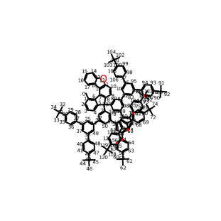 Cc1cccc2c1-c1c(ccc3oc4ccccc4c13)C2(c1cc(-c2cc(-c3ccc(C(C)(C)C)cc3)cc(-c3ccc(C(C)(C)C)cc3)c2)cc(-c2cc(-c3ccc(C(C)(C)C)cc3)cc(-c3ccc(C(C)(C)C)cc3)c2)c1)c1cc(-c2cc(-c3ccc(C(C)(C)C)cc3)cc(-c3ccc(C(C)(C)C)cc3)c2)cc(-c2cc(-c3ccc(C(C)(C)C)cc3)ccc2-c2ccc(C(C)(C)C)cc2)c1